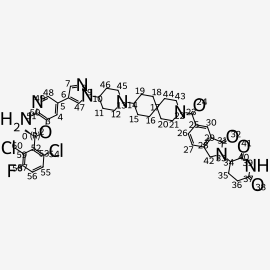 C[C@@H](Oc1cc(-c2cnn(C3CCN(C4CCC5(CC4)CCN(C(=O)c4ccc6c(c4)C(=O)N(C4CCC(=O)NC4=O)C6)CC5)CC3)c2)cnc1N)c1c(Cl)ccc(F)c1Cl